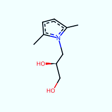 Cc1ccc(C)n1C[C@H](O)CO